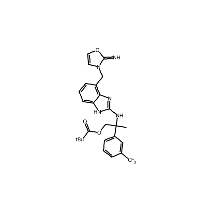 CC(C)(C)C(=O)OCC(C)(Nc1nc2c(Cn3ccoc3=N)cccc2[nH]1)c1cccc(C(F)(F)F)c1